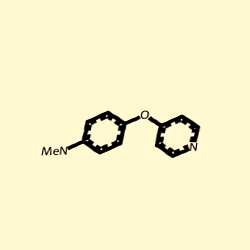 CNc1ccc(Oc2ccncc2)cc1